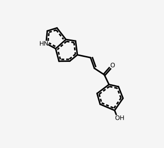 O=C(/C=C/c1ccc2[nH]ccc2c1)c1ccc(O)cc1